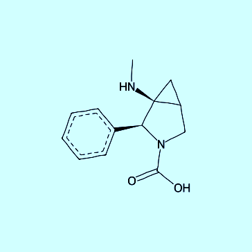 CN[C@@]12CC1CN(C(=O)O)[C@H]2c1ccccc1